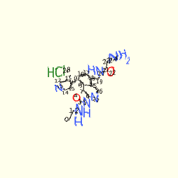 CCNC(=O)Nc1cc2c(-c3ccncc3)ccc(CNC(=O)CN)c2cn1.Cl